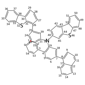 c1ccc(-c2ccc(-c3cccc4ccccc34)cc2N(c2cccc(-c3cccc4c3sc3ccccc34)c2)c2ccc3c(c2)sc2ccccc23)cc1